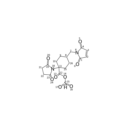 O=C1C=CC(=O)N1CC1CCC(C(=O)O[SH](=O)=O)(N2C(=O)CCC2=O)CC1